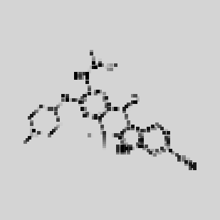 CN1CCC(Oc2cc3c(cc2N[S+](C)[O-])C(=O)c2c([nH]c4cc(C#N)ccc24)C3(C)C)CC1